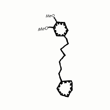 COc1ccc(CCC[CH]CCc2ccccc2)cc1OC